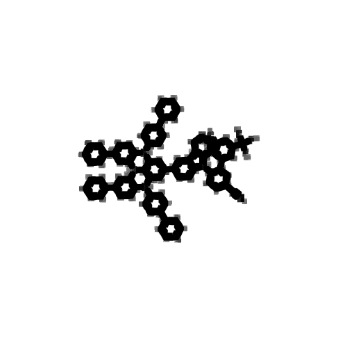 Cc1cc(-c2cc(C#N)ccc2-n2c3ccccc3c3cc(-c4cc5c6c(c4)N(c4ccc(-c7ccccc7)cc4)c4ccc(-c7ccccc7)cc4B6c4cc(-c6ccccc6)ccc4N5c4ccc(-c5ccccc5)cc4)ccc32)cc(C(F)(F)F)c1